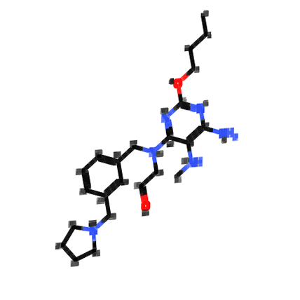 CCCCOc1nc(N)c(NC)c(N(CC=O)Cc2cccc(CN3CCCC3)c2)n1